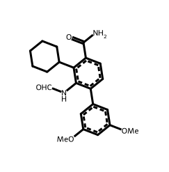 COc1cc(OC)cc(-c2ccc(C(N)=O)c(C3CCCCC3)c2NC=O)c1